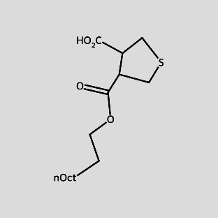 CCCCCCCCCCOC(=O)C1CSCC1C(=O)O